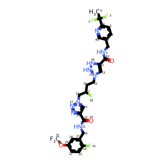 CC(F)(F)c1ccc(CNC(=O)C2=CN(CCC(F)Cn3cc(C(=O)NCc4cc(OC(F)(F)F)ccc4F)nn3)NN2)cn1